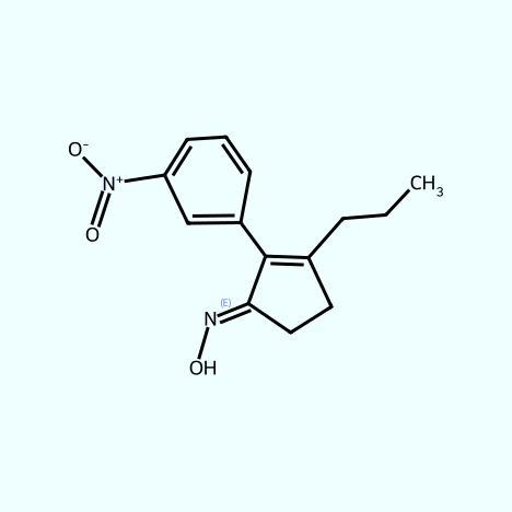 CCCC1=C(c2cccc([N+](=O)[O-])c2)/C(=N/O)CC1